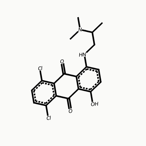 CC(CNc1ccc(O)c2c1C(=O)c1c(Cl)ccc(Cl)c1C2=O)N(C)C